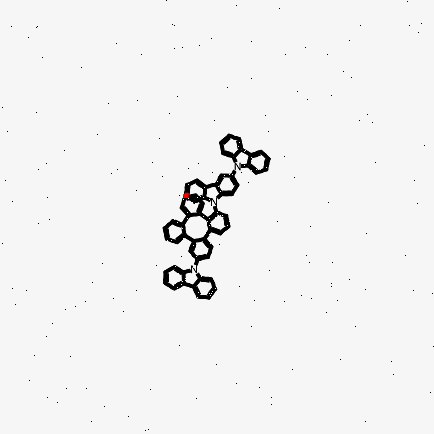 c1ccc2c(c1)-c1cc(-n3c4ccccc4c4ccccc43)ccc1-c1cccc(-n3c4ccccc4c4cc(-n5c6ccccc6c6ccccc65)ccc43)c1-c1ccccc1-2